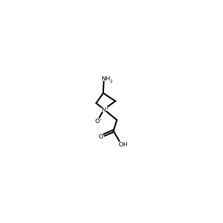 NC1C[N+]([O-])(CC(=O)O)C1